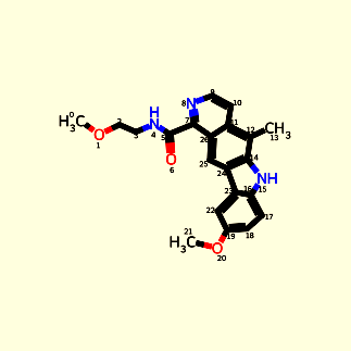 COCCNC(=O)c1nccc2c(C)c3[nH]c4ccc(OC)cc4c3cc12